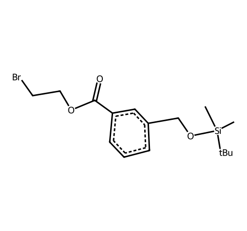 CC(C)(C)[Si](C)(C)OCc1cccc(C(=O)OCCBr)c1